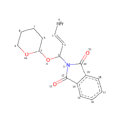 CCCC=CC(OC1CCCCO1)N1C(=O)c2ccccc2C1=O